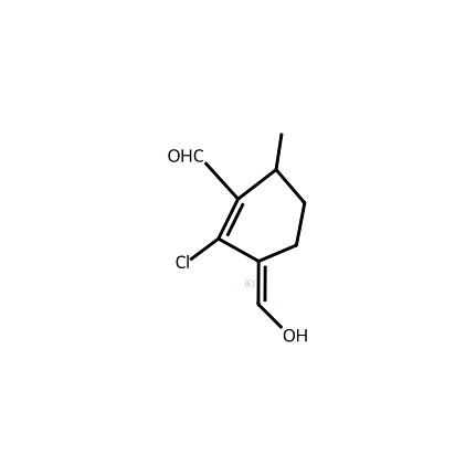 CC1CC/C(=C\O)C(Cl)=C1C=O